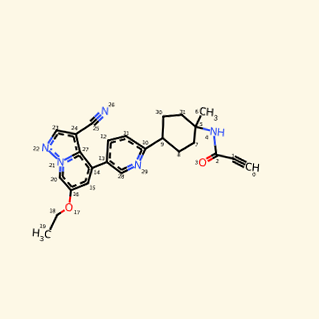 C#CC(=O)NC1(C)CCC(c2ccc(-c3cc(OCC)cn4ncc(C#N)c34)cn2)CC1